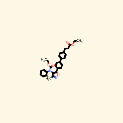 CCOC(=O)CCc1ccc(-c2ccc(-c3onc(C)c3N(C(=O)OCC)c3ccccc3Cl)cc2)cc1